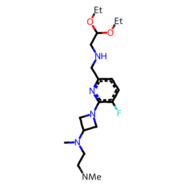 CCOC(CNCc1ccc(F)c(N2CC(N(C)CCNC)C2)n1)OCC